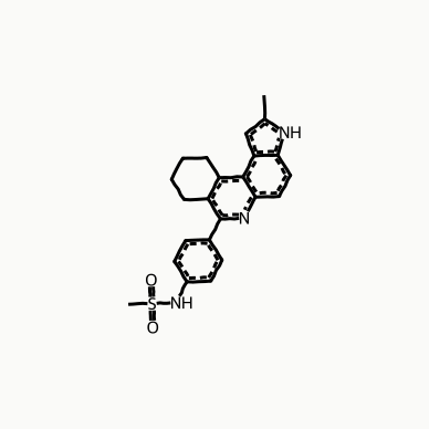 Cc1cc2c(ccc3nc(-c4ccc(NS(C)(=O)=O)cc4)c4c(c32)CCCC4)[nH]1